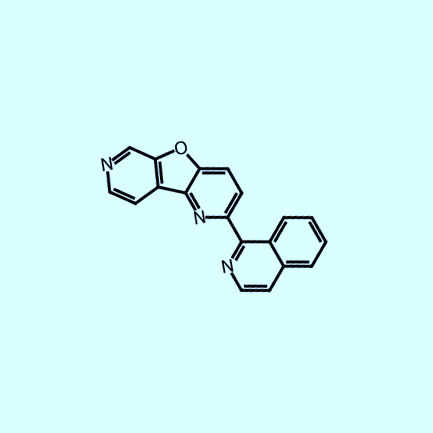 c1ccc2c(-c3ccc4oc5cnccc5c4n3)nccc2c1